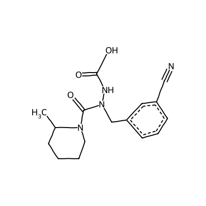 CC1CCCCN1C(=O)N(Cc1cccc(C#N)c1)NC(=O)O